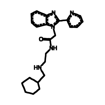 O=C(Cn1c(-c2ccccn2)nc2ccccc21)NCCNCC1CCCCC1